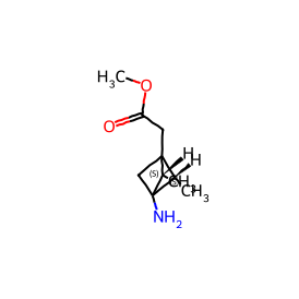 COC(=O)CC12CC(N)([C@H]1C)[C@H]2C